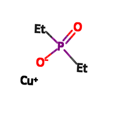 CCP(=O)([O-])CC.[Cu+]